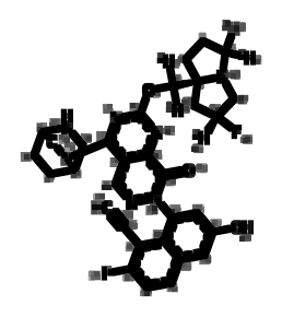 [2H]C1([2H])CC[C@@]2(C([2H])([2H])Oc3nc(N4CC5CCC4CN5)c4cnn(-c5cc(O)cc6ccc(F)c(C#C)c56)c(=O)c4n3)C[C@@]([2H])(F)CN12